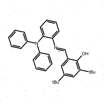 CC(C)(C)c1cc(/C=N/c2ccccc2N(c2ccccc2)c2ccccc2)c(O)c(C(C)(C)C)c1